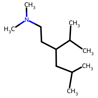 CC(C)CC(CCN(C)C)C(C)C